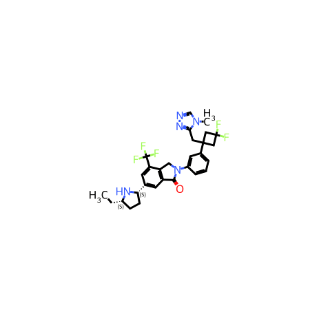 CC[C@H]1CC[C@@H](c2cc3c(c(C(F)(F)F)c2)CN(c2cccc(C4(Cc5nncn5C)CC(F)(F)C4)c2)C3=O)N1